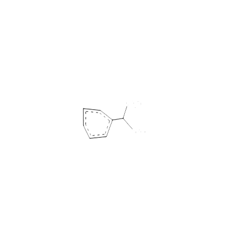 CCCCCCC(C(=O)OCC)c1ccccc1